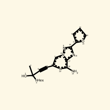 CCCCCCC(C)(O)C#Cc1cn2nc(-c3ccco3)nc2c(N)n1